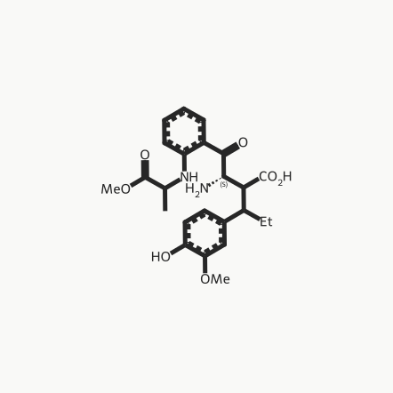 CCC(c1ccc(O)c(OC)c1)C(C(=O)O)[C@H](N)C(=O)c1ccccc1NC(C)C(=O)OC